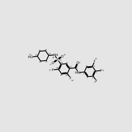 O=C(Nc1cc(F)c(F)c(F)c1)c1cc(S(=O)(=O)NC2CCC(O)CC2)c(F)cc1F